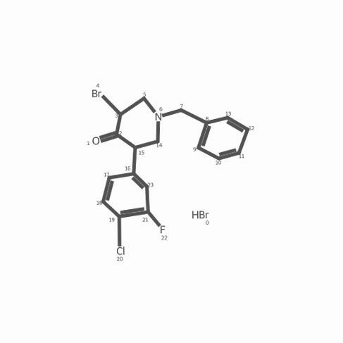 Br.O=C1C(Br)CN(Cc2ccccc2)CC1c1ccc(Cl)c(F)c1